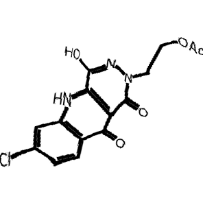 CC(=O)OCCn1nc(O)c2[nH]c3cc(Cl)ccc3c(=O)c2c1=O